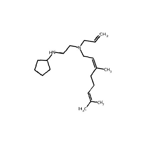 C=CCN(CC=C(C)CCC=C(C)C)CCNC1CCCC1